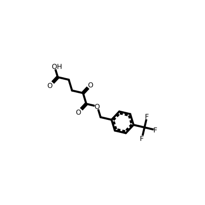 O=C(O)CCC(=O)C(=O)OCc1ccc(C(F)(F)F)cc1